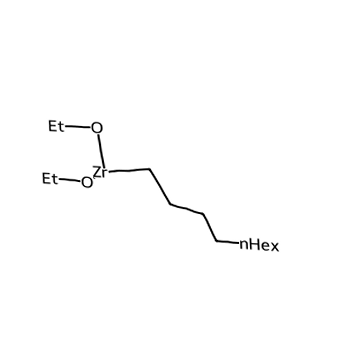 CCCCCCCCC[CH2][Zr]([O]CC)[O]CC